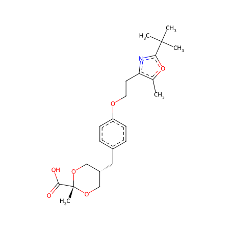 Cc1oc(C(C)(C)C)nc1CCOc1ccc(C[C@H]2CO[C@@](C)(C(=O)O)OC2)cc1